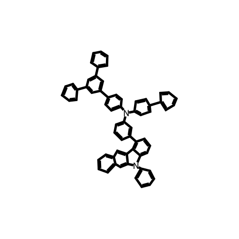 c1ccc(-c2ccc(N(c3ccc(-c4cc(-c5ccccc5)cc(-c5ccccc5)c4)cc3)c3cccc(-c4cccc5c4c4cc6ccccc6cc4n5-c4ccccc4)c3)cc2)cc1